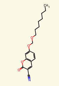 CCCCCCCCOCOc1ccc2cc(C#N)c(=O)oc2c1